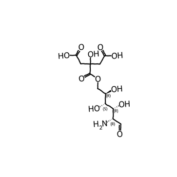 N[C@@H](C=O)[C@@H](O)[C@H](O)[C@H](O)COC(=O)C(O)(CC(=O)O)CC(=O)O